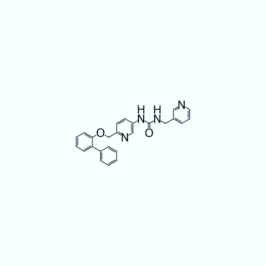 O=C(NCc1cccnc1)Nc1ccc(COc2ccccc2-c2ccccc2)nc1